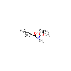 CC(C)CCC(=O)CN(C)C(=O)OC(C)(C)C